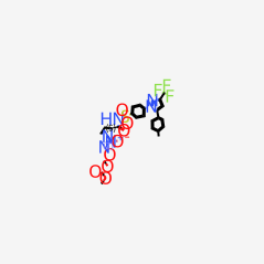 COC(=O)OCO/N=[N+](\[O-])N1CC[C@H]1C(=O)NS(=O)(=O)c1ccc(-n2nc(C(F)(F)F)cc2-c2ccc(C)cc2)cc1